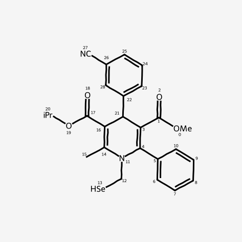 COC(=O)C1=C(c2ccccc2)N(C[SeH])C(C)=C(C(=O)OC(C)C)C1c1cccc(C#N)c1